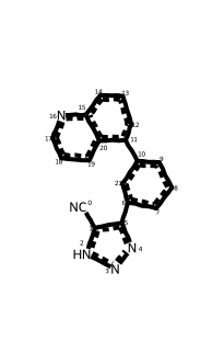 N#Cc1[nH]nnc1-c1cccc(-c2cccc3ncccc23)c1